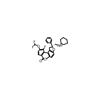 O=Cc1ccc(OC(F)F)c(F)c1-c1c(Cl)ccc2c1C[C@@](CNC1CCCCC1)(c1ccccc1)O2